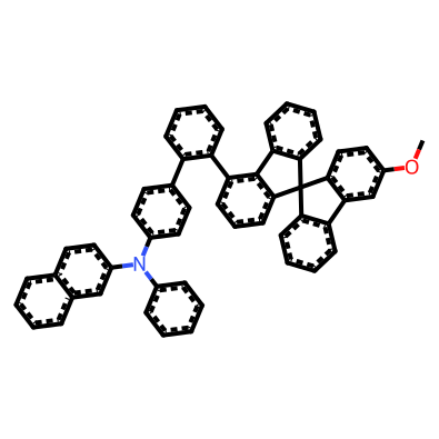 COc1ccc2c(c1)-c1ccccc1C21c2ccccc2-c2c(-c3ccccc3-c3ccc(N(c4ccccc4)c4ccc5ccccc5c4)cc3)cccc21